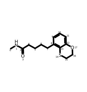 CNC(=O)CCCCc1cccc2c1SCCO2